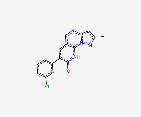 Cc1cc2ncc3cc(-c4cccc(Cl)c4)c(=O)[nH]c3n2n1